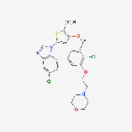 C[C@@H](Oc1cc(-n2cnc3cc(Cl)ccc32)sc1C(=O)O)c1cccc(OCCN2CCOCC2)c1Cl